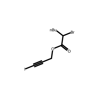 CCCCC(Br)C(=O)OCC#CI